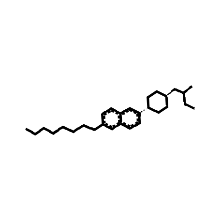 CCCCCCCCc1ccc2cc([C@H]3CC[C@H](CC(C)CC)CC3)ccc2c1